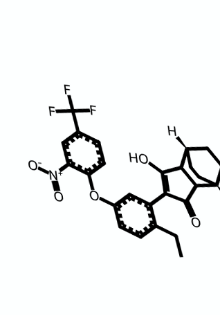 CCc1ccc(Oc2ccc(C(F)(F)F)cc2[N+](=O)[O-])cc1C1=C(O)C2C(C1=O)[C@H]1CC[C@@H]2CC1